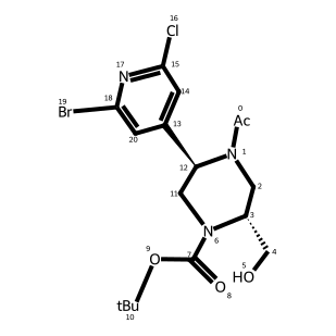 CC(=O)N1C[C@H](CO)N(C(=O)OC(C)(C)C)C[C@H]1c1cc(Cl)nc(Br)c1